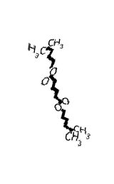 CC(C)CCCCOC(=O)CCCCC(=O)OCCCCC(C)C